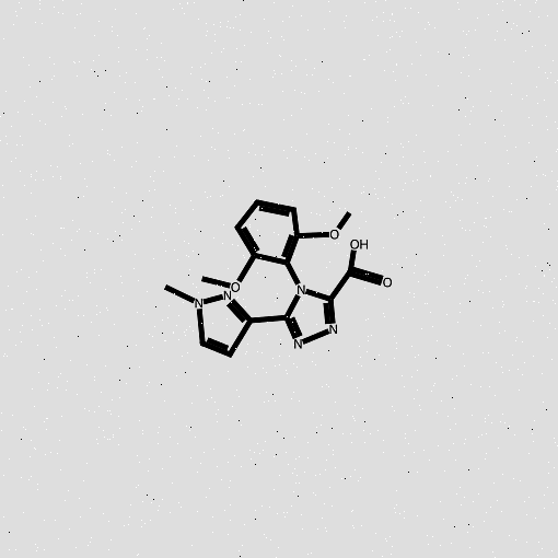 COc1cccc(OC)c1-n1c(C(=O)O)nnc1-c1ccn(C)n1